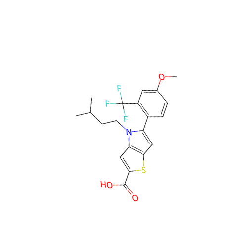 COc1ccc(-c2cc3sc(C(=O)O)cc3n2CCC(C)C)c(C(F)(F)F)c1